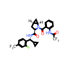 O=C(N[C@@H](c1ccc(C(F)(F)F)cc1F)C1CC1)[C@H]1C[C@H]2C[C@H]2N1C(=O)c1ccccc1NC(=O)C(F)(F)F